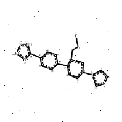 FCCc1cc(-n2ccnc2)ccc1-c1ccc(-c2nnn[nH]2)cc1